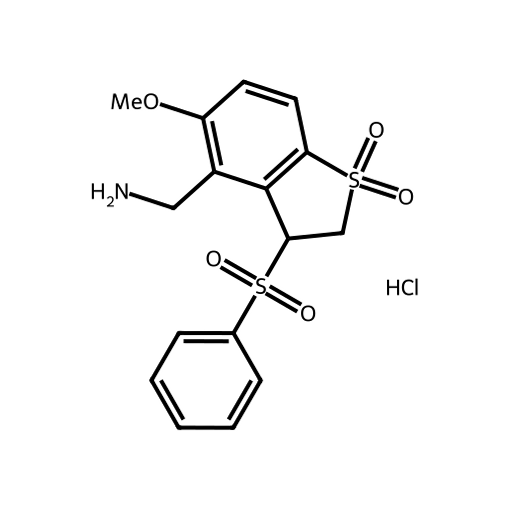 COc1ccc2c(c1CN)C(S(=O)(=O)c1ccccc1)CS2(=O)=O.Cl